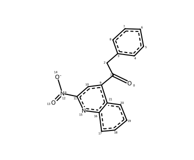 O=C(Cc1ccccc1)c1cc([N+](=O)[O-])nc2ccccc12